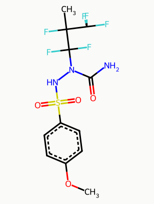 COc1ccc(S(=O)(=O)NN(C(N)=O)C(F)(F)C(C)(F)C(F)(F)F)cc1